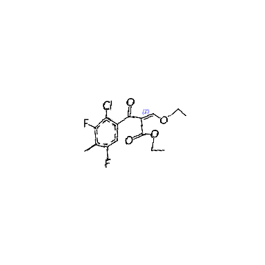 CCO/C=C(\C(=O)OCC)C(=O)c1cc(F)c(C)c(F)c1Cl